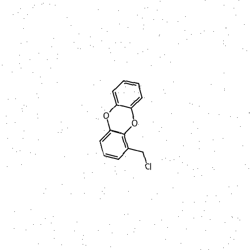 ClCc1cccc2c1Oc1ccccc1O2